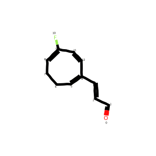 O=C/C=C/C1=CCC/C=C(F)\C=C/1